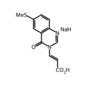 CSc1ccc2ncn(C=CC(=O)O)c(=O)c2c1.[NaH]